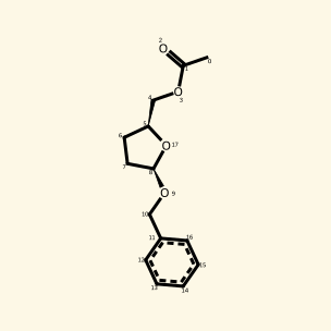 CC(=O)OC[C@@H]1CC[C@H](OCc2ccccc2)O1